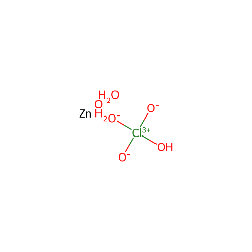 O.O.[O-][Cl+3]([O-])([O-])O.[Zn]